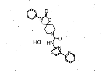 Cl.O=C(Nc1nc(-c2ccccn2)cs1)N1CCC2(CC1)CN(c1ccccc1)C(=O)O2